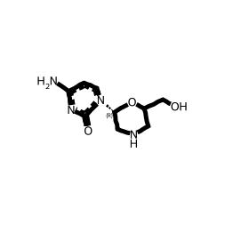 Nc1ccn([C@H]2CNCC(CO)O2)c(=O)n1